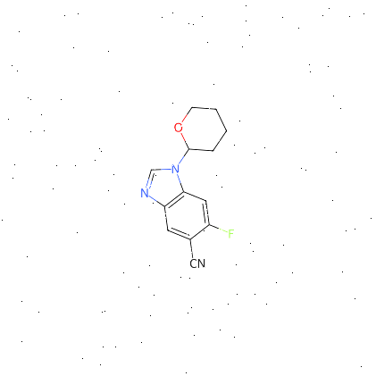 N#Cc1cc2ncn(C3CCCCO3)c2cc1F